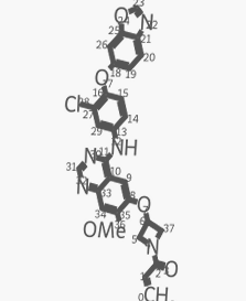 C=CC(=O)N1CC(Oc2cc3c(Nc4ccc(Oc5ccc6ncoc6c5)c(Cl)c4)ncnc3cc2OC)C1